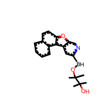 CC(C)(O)C(C)(C)OBc1cc2c(cn1)oc1ccc3ccccc3c12